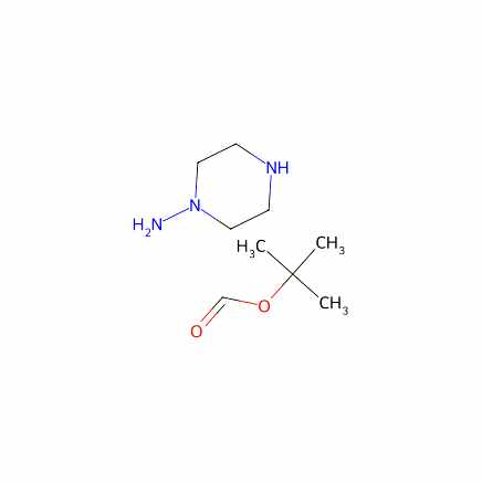 CC(C)(C)OC=O.NN1CCNCC1